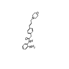 Nc1ccccc1NC(=O)Cc1ccc(C=CCN2CCOCC2)cc1